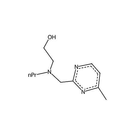 CCCN(CCO)Cc1nccc(C)n1